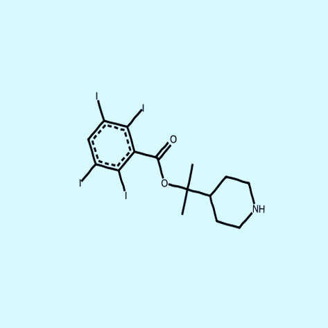 CC(C)(OC(=O)c1c(I)c(I)cc(I)c1I)C1CCNCC1